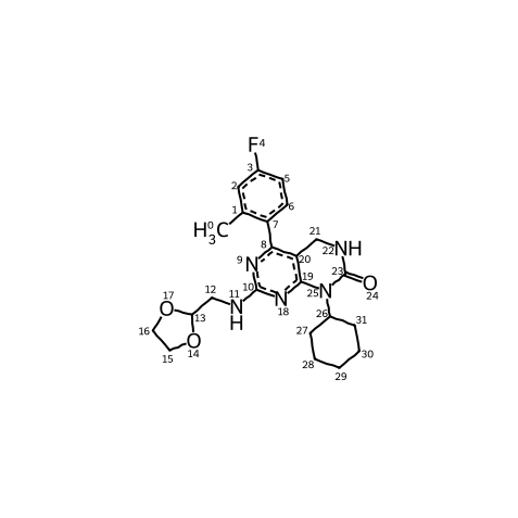 Cc1cc(F)ccc1-c1nc(NCC2OCCO2)nc2c1CNC(=O)N2C1CCCCC1